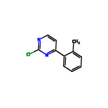 Cc1ccccc1-c1ccnc(Cl)n1